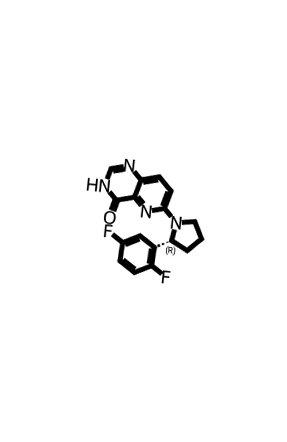 O=c1[nH]cnc2ccc(N3CCC[C@@H]3c3cc(F)ccc3F)nc12